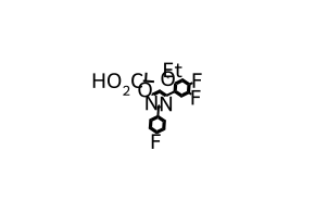 CCOc1cc(F)c(F)cc1-c1cc(OC(C)(C)C(=O)O)nc(-c2ccc(F)cc2)n1